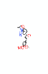 C=C1COc2ccc(C(=O)/C=C/c3ccc(O)c(OCC)c3)cc2N1